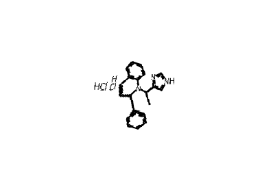 CC(c1c[nH]cn1)N1c2ccccc2C=CC1c1ccccc1.Cl.Cl